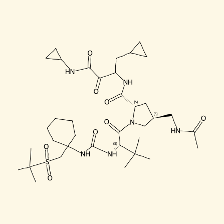 CC(=O)NC[C@@H]1C[C@@H](C(=O)NC(CC2CC2)C(=O)C(=O)NC2CC2)N(C(=O)[C@@H](NC(=O)NC2(CS(=O)(=O)C(C)(C)C)CCCCC2)C(C)(C)C)C1